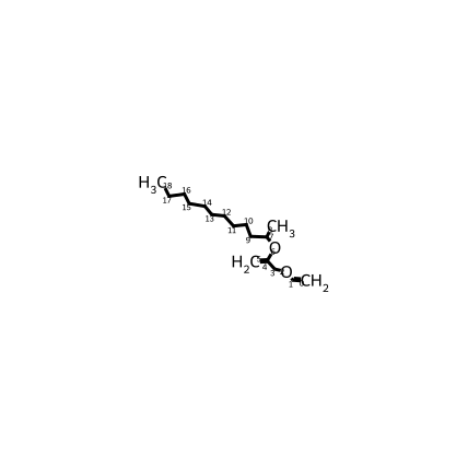 C=COCC(=C)OC(C)CCCCCCCCCC